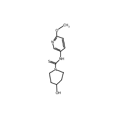 COc1ccc(NC(=S)N2CCC(O)CC2)cn1